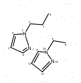 CCCn1cccn1.CCn1cccn1